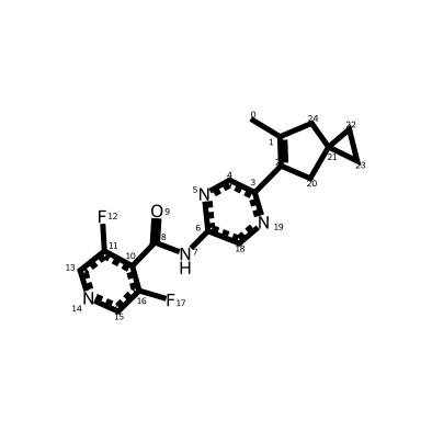 CC1=C(c2cnc(NC(=O)c3c(F)cncc3F)cn2)CC2(CC2)C1